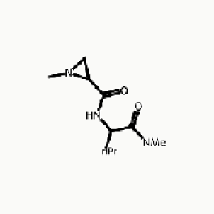 CCCC(NC(=O)C1CN1C)C(=O)NC